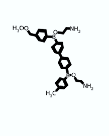 COCc1ccc(B(OCCN)c2ccc(-c3ccc(B(OCCN)c4ccc(C)cc4)cc3)cc2)cc1